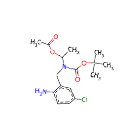 CC(=O)OC(C)N(Cc1cc(Cl)ccc1N)C(=O)OC(C)(C)C